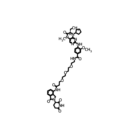 CC[C@@H]1C(=O)N(C)c2cnc(Nc3ccc(C(=O)NCCOCCOCCOCCC(=O)Nc4cccc5c4CN(C4CCC(=O)NC4=O)C5=O)cc3OC)nc2N1C1CCCC1